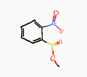 COS(=O)c1ccccc1[N+](=O)[O-]